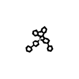 C1=CC(c2ccccc2)CC=C1n1c2cc(-c3ccccc3)ccc2c2c3ccccc3c3ccccc3c21